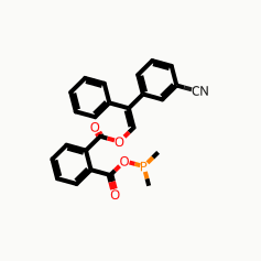 CP(C)OC(=O)c1ccccc1C(=O)O/C=C(\c1ccccc1)c1cccc(C#N)c1